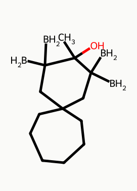 BC1(B)CC2(CCCCCC2)CC(B)(B)C1(C)O